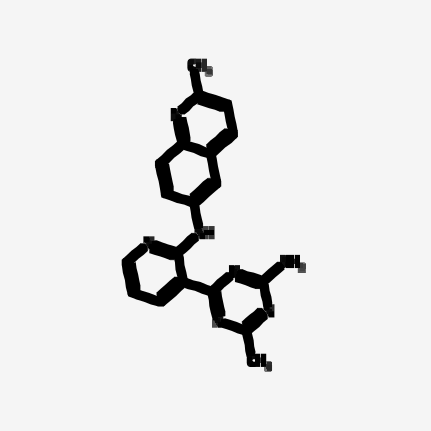 Cc1ccc2cc(Nc3ncccc3-c3nc(C)nc(N)n3)ccc2n1